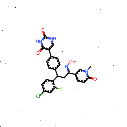 Cn1cc(C(CC(c2ccc(-c3c[nH]c(=O)[nH]c3=O)cc2)c2ccc(Cl)cc2F)=NO)ccc1=O